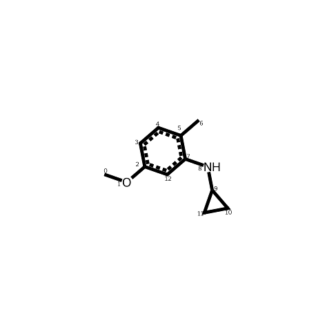 COc1ccc(C)c(NC2CC2)c1